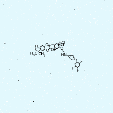 CC(C)(C)c1ccc(O[C@@H](Cc2ccc(OCCNC3C4CN(Cc5cc(F)c(F)cc5F)CC43)cc2)C(=O)O)cc1.Cl.Cl